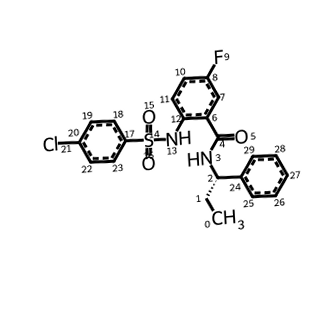 CC[C@H](NC(=O)c1cc(F)ccc1NS(=O)(=O)c1ccc(Cl)cc1)c1ccccc1